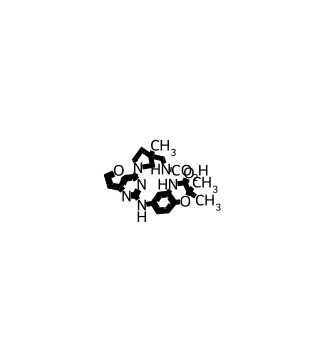 CC1(CNC(=O)O)CCN(c2nc(Nc3ccc4c(c3)NC(=O)C(C)(C)O4)nc3ccoc23)C1